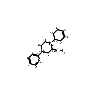 CC1CN(c2ccccn2)CCN1C1CC=CCC1